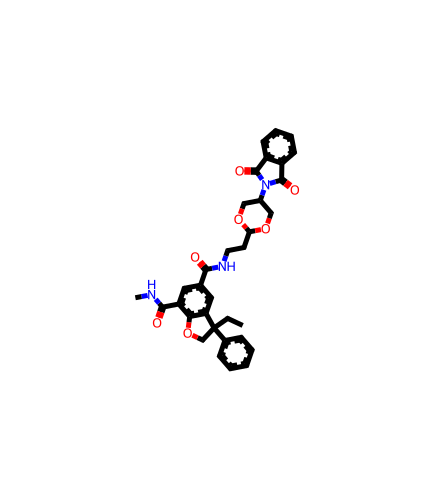 CCC1(c2ccccc2)COc2c(C(=O)NC)cc(C(=O)NCCC3OCC(N4C(=O)c5ccccc5C4=O)CO3)cc21